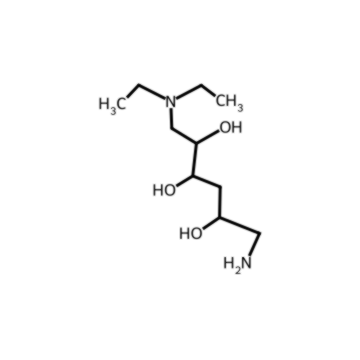 CCN(CC)CC(O)C(O)CC(O)CN